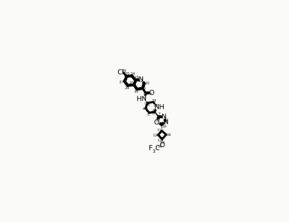 O=C(N[C@H]1CC[C@H](c2nnc([C@H]3C[C@@H](OC(F)(F)F)C3)o2)NC1)c1cnc2cc(Cl)ccc2c1